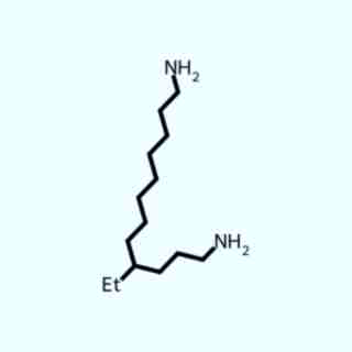 CCC(CCCN)CCCCCCCCN